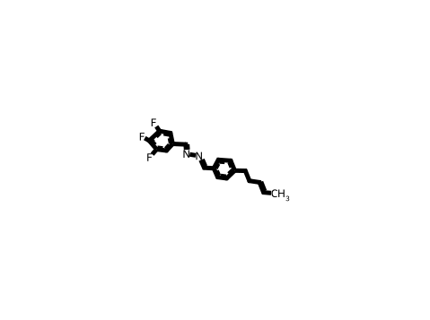 CC=CCCc1ccc(C=NN=Cc2cc(F)c(F)c(F)c2)cc1